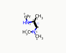 CCCN/C(C)=C\N(C)C